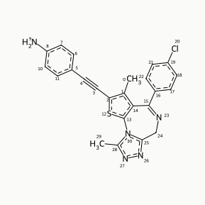 Cc1c(C#Cc2ccc(N)cc2)sc2c1C(c1ccc(Cl)cc1)=NCc1nnc(C)n1-2